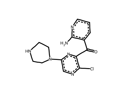 Nc1ncccc1C(=O)c1nc(N2CCNCC2)cnc1Cl